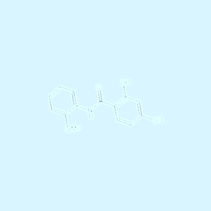 COc1ccccc1NC(=O)c1ccc(O)cc1O